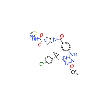 O=C(Nc1nccs1)C(=O)N1CC2CN(C(=O)c3ccc(Nc4nc(CC5(c6ccc(Cl)cc6)CC5)nc(OCC(F)(F)F)n4)cc3)CC2C1